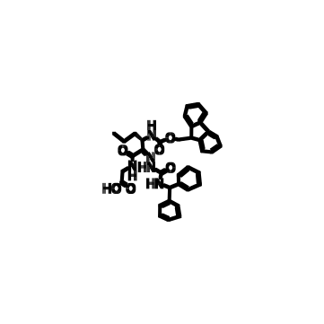 CCC[C@@H](NC(=O)OCC1c2ccccc2-c2ccccc21)C(=NNC(=O)NC(c1ccccc1)c1ccccc1)C(=O)NCC(=O)O